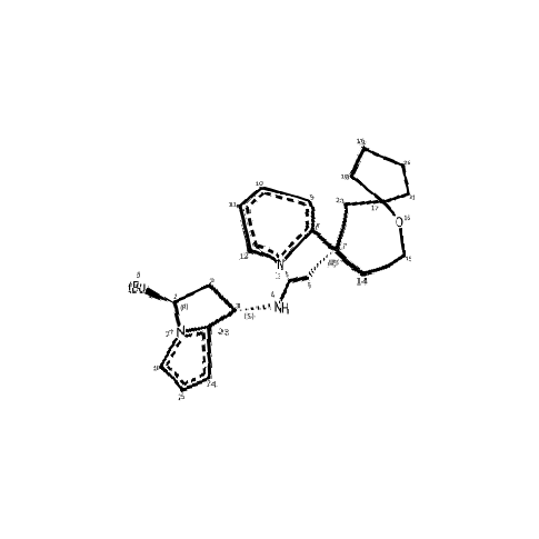 CC(C)(C)[C@H]1C[C@H](NCC[C@@]2(c3ccccn3)CCOC3(CCCC3)C2)c2cccn21